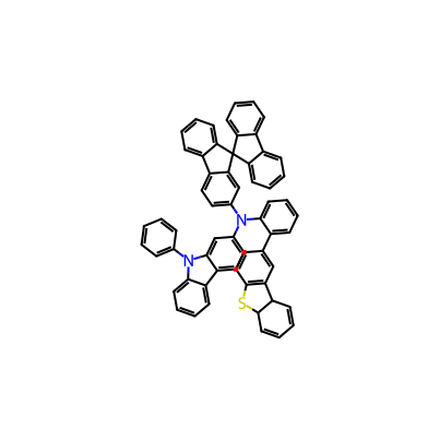 C1=CC2Sc3ccc(-c4ccccc4N(c4ccc5c(c4)C4(c6ccccc6-c6ccccc64)c4ccccc4-5)c4ccc5c6ccccc6n(-c6ccccc6)c5c4)cc3C2C=C1